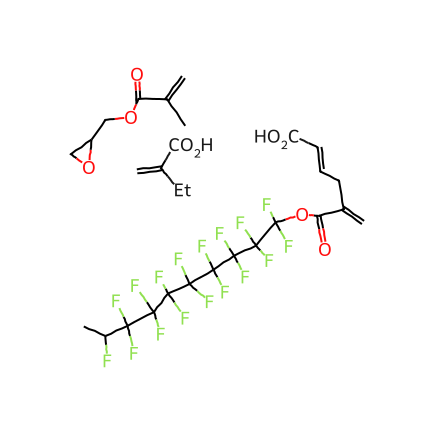 C=C(C)C(=O)OCC1CO1.C=C(CC)C(=O)O.C=C(CC=CC(=O)O)C(=O)OC(F)(F)C(F)(F)C(F)(F)C(F)(F)C(F)(F)C(F)(F)C(F)(F)C(F)(F)C(C)F